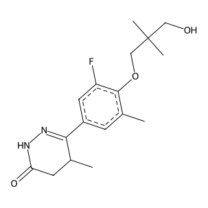 Cc1cc(C2=NNC(=O)CC2C)cc(F)c1OCC(C)(C)CO